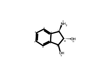 N[C@@H]1c2ccccc2C(O)[C@H]1O